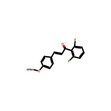 CCCCCCSc1ccc(C=CC(=O)c2c(F)cccc2F)cc1